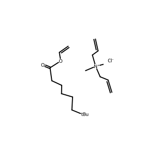 C=CC[N+](C)(C)CC=C.C=COC(=O)CCCCCC(C)(C)C.[Cl-]